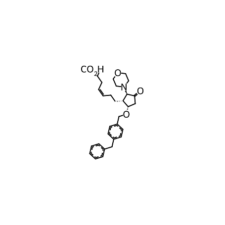 O=C(O)CC/C=C\CC[C@H]1[C@@H](OCc2ccc(Cc3ccccc3)cc2)CC(=O)[C@@H]1N1CCOCC1